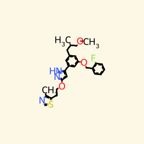 COC[C@H](C)Cc1cc(OCc2ccccc2F)cc(-c2cc(OCCc3scnc3C)n[nH]2)c1